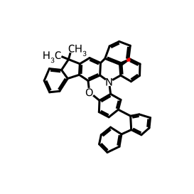 CC1(C)c2ccccc2-c2c1cc(-c1ccccc1)c1c2Oc2ccc(-c3ccccc3-c3ccccc3)cc2N1c1ccccc1